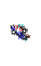 O=C1CCCN1c1cccc(NCc2nc3cc(F)c(Br)cn3c2Cc2ccccc2OC(F)F)c1